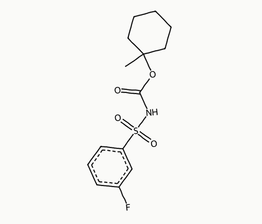 CC1(OC(=O)NS(=O)(=O)c2cccc(F)c2)CCCCC1